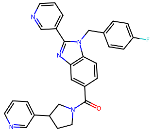 O=C(c1ccc2c(c1)nc(-c1cccnc1)n2Cc1ccc(F)cc1)N1CCC(c2cccnc2)C1